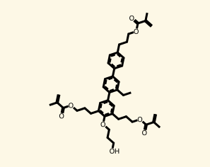 C=C(C)C(=O)OCCCc1ccc(-c2ccc(-c3cc(CCCOC(=O)C(=C)C)c(OCCCO)c(CCCOC(=O)C(=C)C)c3)c(CC)c2)cc1